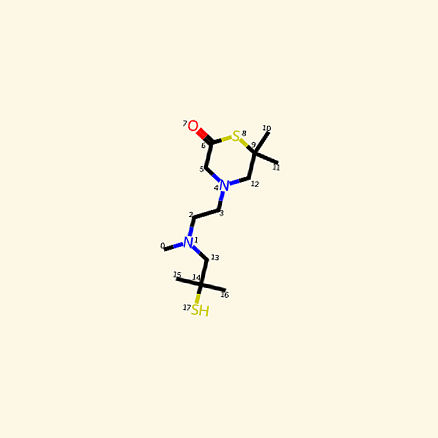 CN(CCN1CC(=O)SC(C)(C)C1)CC(C)(C)S